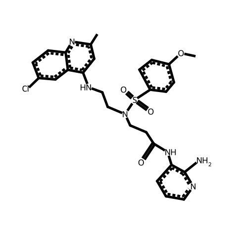 COc1ccc(S(=O)(=O)N(CCNc2cc(C)nc3ccc(Cl)cc23)CCC(=O)Nc2cccnc2N)cc1